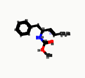 CCOC(=O)/C=C/[C@H](Cc1ccccc1)NC(=O)OC(C)(C)C